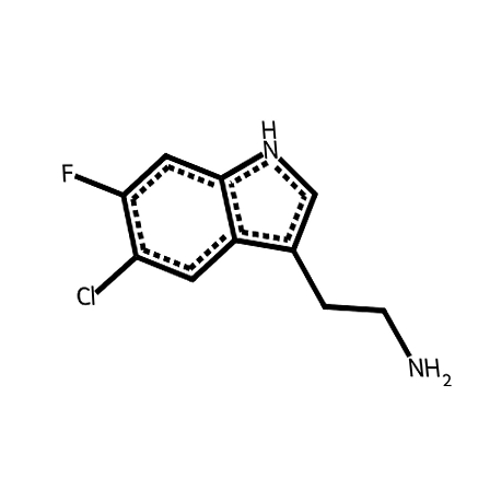 NCCc1c[nH]c2cc(F)c(Cl)cc12